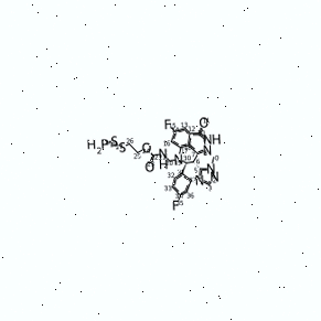 Cn1ncnc1[C@H]1c2n[nH]c(=O)c3cc(F)cc(c23)N(CNC(=O)OCCSSP)[C@@H]1c1ccc(F)cc1